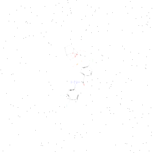 COC[C@]1(O)C2CCC1C[C@@H](S(=O)(=O)c1cc(C(=O)Nc3cc(F)c(F)c(F)c3)ccc1Cl)C2